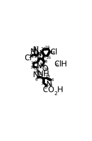 Cl.O=C(O)c1cc(-c2cnc([C@@H]3CCc4cc(-c5cc(Cl)ccc5-n5cc(Cl)nn5)cc(=O)n43)[nH]2)ccn1